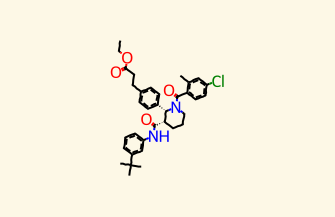 CCOC(=O)CCc1ccc([C@H]2[C@@H](C(=O)Nc3cccc(C(C)(C)C)c3)CCCN2C(=O)c2ccc(Cl)cc2C)cc1